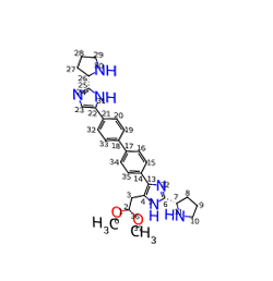 COC(Cc1[nH]c([C@@H]2CCCN2)nc1-c1ccc(-c2ccc(-c3cnc([C@@H]4CCCN4)[nH]3)cc2)cc1)OC